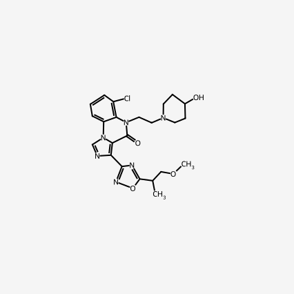 COCC(C)c1nc(-c2ncn3c2c(=O)n(CCN2CCC(O)CC2)c2c(Cl)cccc23)no1